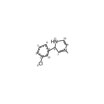 Clc1cccc(C2C=NC=CN2)c1